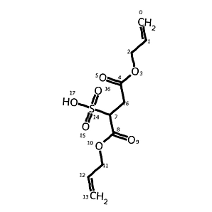 C=CCOC(=O)[CH]C(C(=O)OCC=C)S(=O)(=O)O